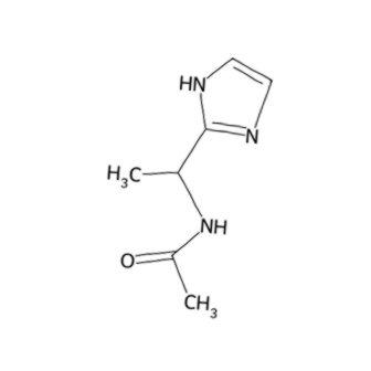 CC(=O)NC(C)c1ncc[nH]1